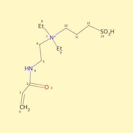 C=CC(=O)NCC[N+](CC)(CC)CCCS(=O)(=O)O